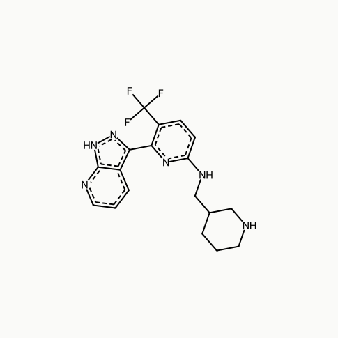 FC(F)(F)c1ccc(NCC2CCCNC2)nc1-c1n[nH]c2ncccc12